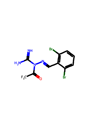 N=C(N)N(/N=C/c1c(Br)cccc1Br)C(=O)C(F)(F)F